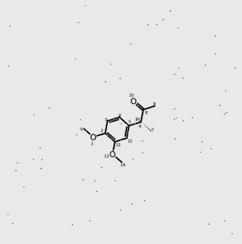 COc1ccc([C@@H](C)C(C)=O)cc1OC